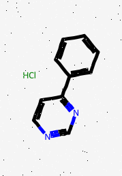 Cl.c1ccc(-c2ccncn2)cc1